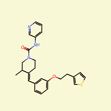 CC1CN(C(=O)Nc2cccnc2)CCC1=Cc1cccc(OCCc2ccsc2)c1